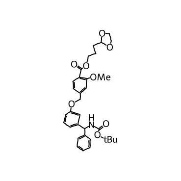 COc1cc(COc2cccc(C(NC(=O)OC(C)(C)C)c3ccccc3)c2)ccc1C(=O)OCCCC1OCCO1